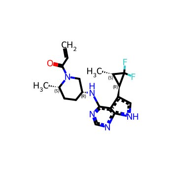 C=CC(=O)N1C[C@H](Nc2ncnc3[nH]cc([C@H]4[C@H](C)C4(F)F)c23)CC[C@@H]1C